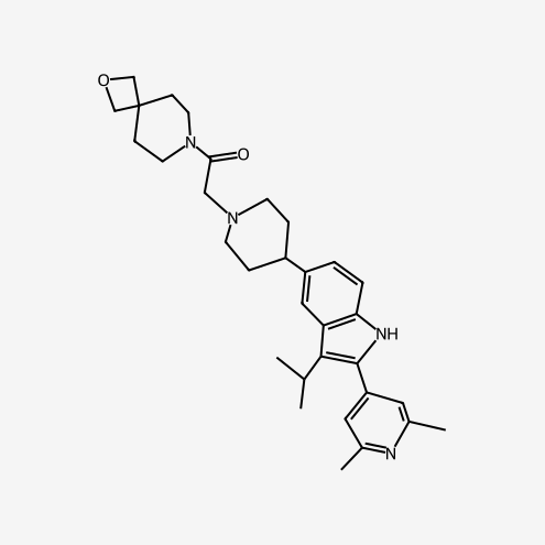 Cc1cc(-c2[nH]c3ccc(C4CCN(CC(=O)N5CCC6(CC5)COC6)CC4)cc3c2C(C)C)cc(C)n1